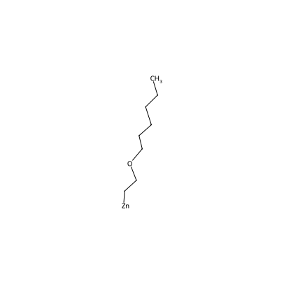 CCCCCCOC[CH2][Zn]